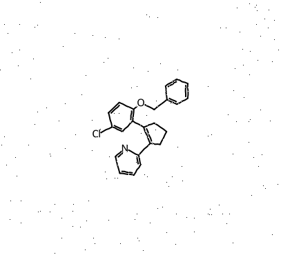 Clc1ccc(OCc2ccccc2)c(C2=C(c3ccccn3)CCC2)c1